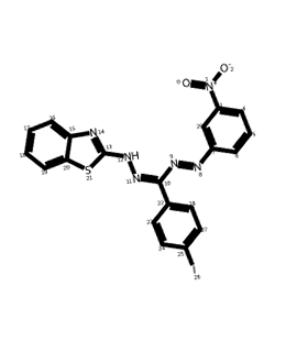 O=[N+]([O-])c1cccc(N=NC(=NNc2nc3ccccc3s2)c2ccc(I)cc2)c1